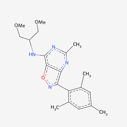 COCC(COC)Nc1nc(C)nc2c(-c3c(C)cc(C)cc3C)noc12